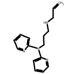 C=CCNCCCN(c1ccccn1)c1ccccn1